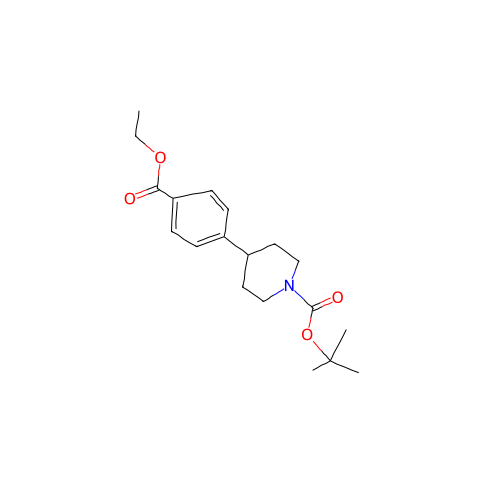 CCOC(=O)c1ccc(C2CCN(C(=O)OC(C)(C)C)CC2)cc1